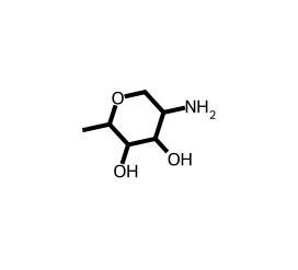 CC1OCC(N)C(O)C1O